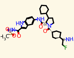 CS(=O)(=O)NC(=O)c1cc2cc(NC(=O)[C@@H]3C(C4CCCCC4)CCN3C(=O)[C@H]3CC[C@H]([C@H](N)CF)CC3)ccc2[nH]1